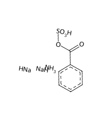 N.O=C(OS(=O)(=O)O)c1ccccc1.[NaH].[NaH]